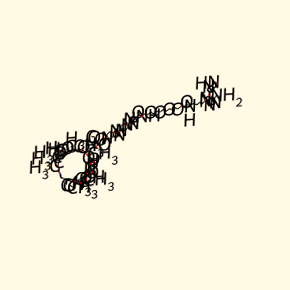 CO[C@H]1C[C@@H]2CC[C@@H](C)[C@@](O)(O2)C(=O)C(=O)N2CCCC[C@H]2C(=O)O[C@H]([C@H](C)C[C@@H]2CC[C@@H](OC(=O)N3CCc4nc(N5CCN(c6ncc(C(=O)NCCOCCOCCOCCOCCC(=O)NCCCCn7nc(-c8cnc9[nH]ccc9c8)c8c(N)ncnc87)cn6)CC5)ncc4C3)[C@H](OC)C2)CC(=O)[C@H](C)/C=C(\C)[C@@H](O)[C@@H](OC)C(=O)[C@H](C)C[C@H](C)/C=C/C=C/C=C/1C